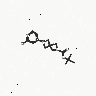 CC(C)(C)OC(=O)N1CC2(C1)CN(c1ccnc(Cl)c1)C2